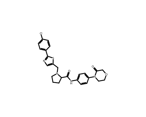 O=C(Nc1ccc(N2CCOCC2=O)cc1)C1CCCN1Cc1cnc(-c2ccc(Cl)cc2)s1